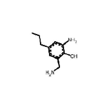 CCCc1cc(N)c(O)c(CN)c1